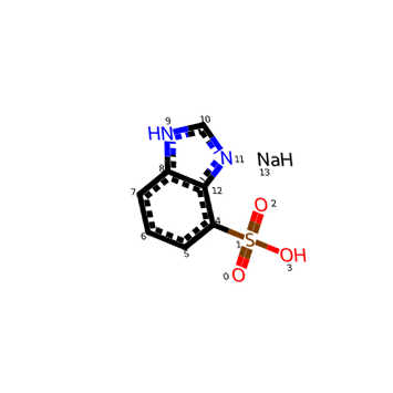 O=S(=O)(O)c1cccc2[nH]cnc12.[NaH]